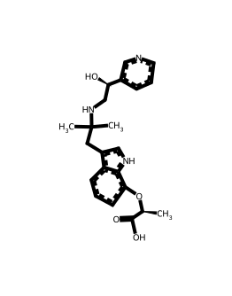 C[C@H](Oc1cccc2c(CC(C)(C)NC[C@@H](O)c3cccnc3)c[nH]c12)C(=O)O